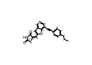 CCCc1ccc(C#Cc2cncc3cc(C=C4SC(=O)NC4=O)oc23)cc1